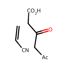 C=CC#N.CC(=O)CC(=O)CC(=O)O